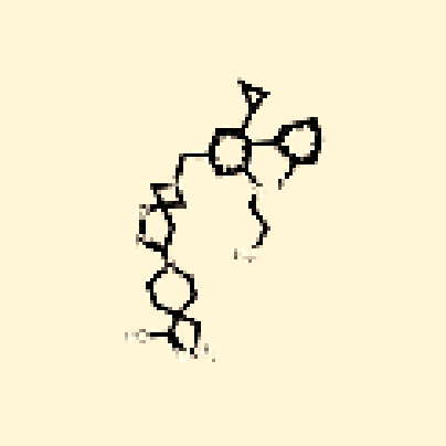 CCCOc1cc(CN2CC3(CC(N4CCC(CC)(C(=O)O)CC4)=NO3)C2)cc(C2CC2)c1-c1ccccc1F